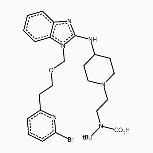 CC(C)(C)N(CCN1CCC(Nc2nc3ccccc3n2COCCc2cccc(Br)n2)CC1)C(=O)O